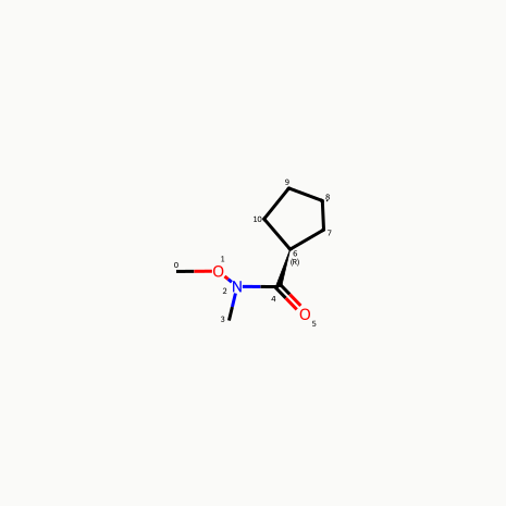 CON(C)C(=O)[C@@H]1C[CH]CC1